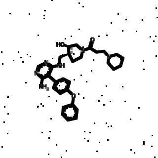 Nc1ncnc(NC[C@@H]2CCN(C(=O)CCN3CCCCC3)C[C@@H]2O)c1-c1ccc(Oc2ccccc2)cc1